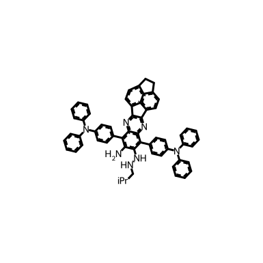 CC(C)CNNc1c(N)c(-c2ccc(N(c3ccccc3)c3ccccc3)cc2)c2nc3c(nc2c1-c1ccc(N(c2ccccc2)c2ccccc2)cc1)-c1ccc2c4c(ccc-3c14)CC2